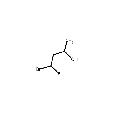 CC(O)CC(Br)Br